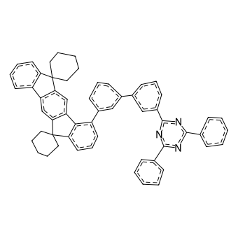 c1ccc(-c2nc(-c3ccccc3)nc(-c3cccc(-c4cccc(-c5cccc6c5-c5cc7c(cc5C65CCCCC5)-c5ccccc5C75CCCCC5)c4)c3)n2)cc1